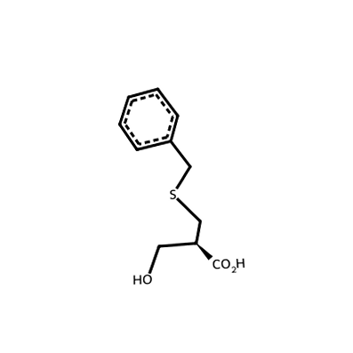 O=C(O)[C@@H](CO)CSCc1ccccc1